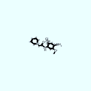 COc1cc(NC(=O)C[n+]2ccccc2)c(O)cc1N.[Cl-]